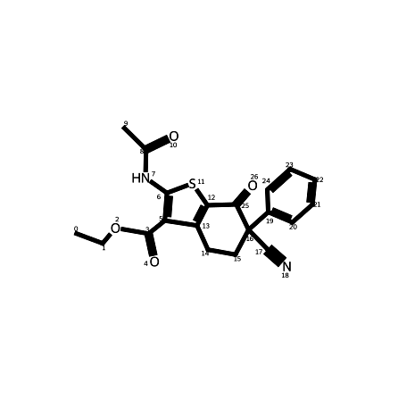 CCOC(=O)c1c(NC(C)=O)sc2c1CCC(C#N)(c1ccccc1)C2=O